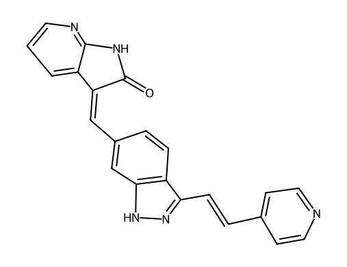 O=C1Nc2ncccc2C1=Cc1ccc2c(C=Cc3ccncc3)n[nH]c2c1